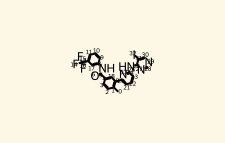 Cc1ccc(C(=O)Nc2cccc(C(F)(F)F)c2)cc1-c1cccc(Nc2ncncc2I)n1